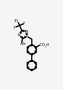 CCCc1nc(C(F)(F)CC)nn1Cc1ccc(-c2ccccc2)cc1C(=O)O